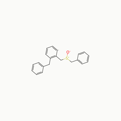 [O-][S+](Cc1ccccc1)Cc1[c]cccc1Cc1ccccc1